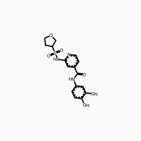 O=C(Nc1ccc(O)c(O)c1)c1ccnc(NS(=O)(=O)C2CCOC2)c1